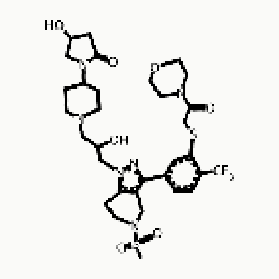 CS(=O)(=O)N1CCc2c(c(-c3ccc(C(F)(F)F)c(SCC(=O)N4CCOCC4)c3)nn2CC(O)CN2CCC(N3CC(O)CC3=O)CC2)C1